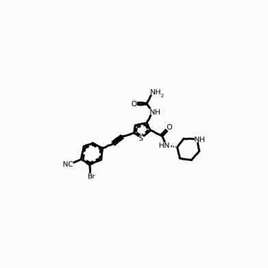 N#Cc1ccc(C#Cc2cc(NC(N)=O)c(C(=O)N[C@H]3CCCNC3)s2)cc1Br